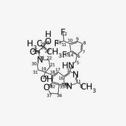 Cc1nc(NCc2cccc(C(F)F)c2F)c2cc(C3(O)CCN(C(=O)C(C)(C)O)CC3)c3c(c2n1)CCO3